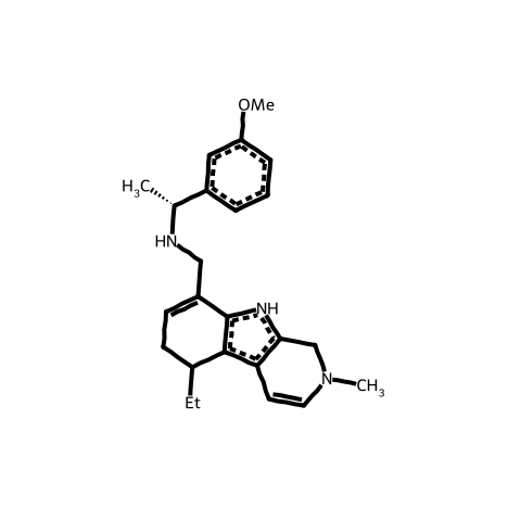 CCC1CC=C(CN[C@H](C)c2cccc(OC)c2)c2[nH]c3c(c21)C=CN(C)C3